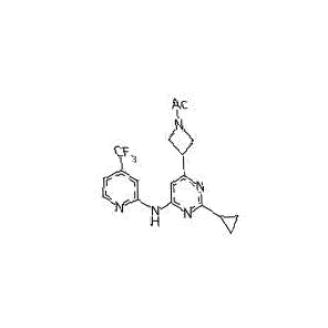 CC(=O)N1CC(c2cc(Nc3cc(C(F)(F)F)ccn3)nc(C3CC3)n2)C1